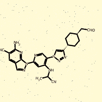 CC(C#N)Nc1cc(-n2ncc3cc(C#N)c(N)nc32)ncc1-n1cc([C@H]2CC[C@H](CC=O)CC2)nn1